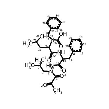 CC(=O)C(=O)N(CC(C)C)NC(=O)C(Cc1ccccc1)NC(=O)C(CC(C)C)N(Cc1ccccc1)C(=O)O